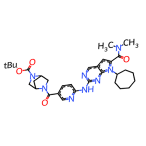 CN(C)C(=O)c1cc2cnc(Nc3ccc(C(=O)N4CC5CC4CN5C(=O)OC(C)(C)C)cn3)nc2n1C1CCCCCC1